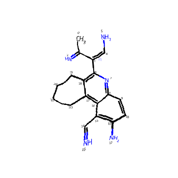 CC(=N)/C(=C\N)c1nc2ccc(N)c(C=N)c2c2c1CCCC2